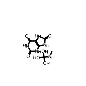 CNC(O)(O)O.O=c1[nH]c(=O)c2[nH]c(=O)[nH]c2[nH]1